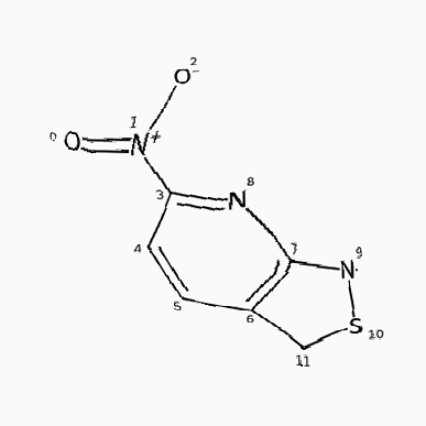 O=[N+]([O-])c1ccc2c(n1)[N]SC2